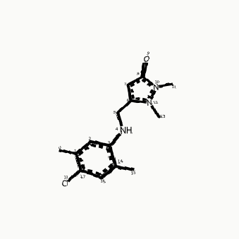 Cc1cc(NCc2cc(=O)n(C)n2C)c(C)cc1Cl